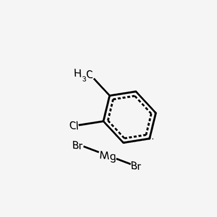 Cc1cc[c]cc1Cl.[Br][Mg][Br]